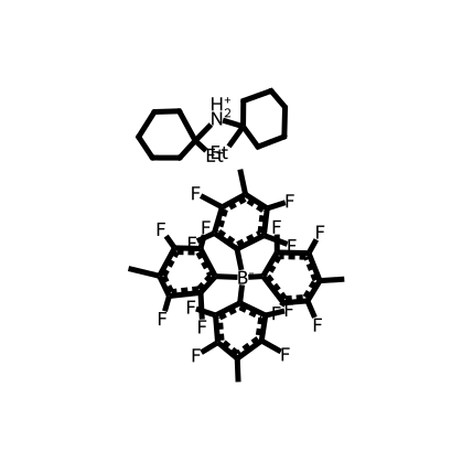 CCC1([NH2+]C2(CC)CCCCC2)CCCCC1.Cc1c(F)c(F)c([B-](c2c(F)c(F)c(C)c(F)c2F)(c2c(F)c(F)c(C)c(F)c2F)c2c(F)c(F)c(C)c(F)c2F)c(F)c1F